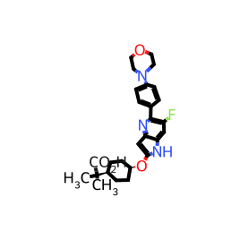 CC(C)(C(=O)O)[C@H]1CC[C@H](Oc2cc3nc(-c4ccc(N5CCOCC5)cc4)c(F)cc3[nH]2)CC1